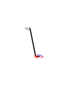 CCCCCCCCCCCCCCCCCCCCCCCCCCCCCCCC(=O)OC(=O)[C@@H](N)CO